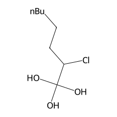 CCCCCCC(Cl)C(O)(O)O